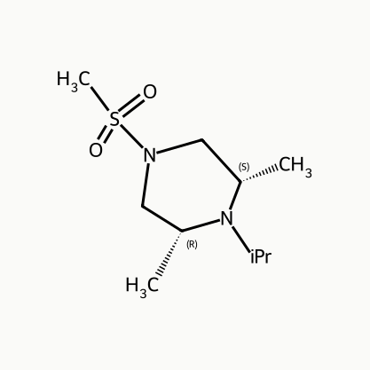 CC(C)N1[C@H](C)CN(S(C)(=O)=O)C[C@@H]1C